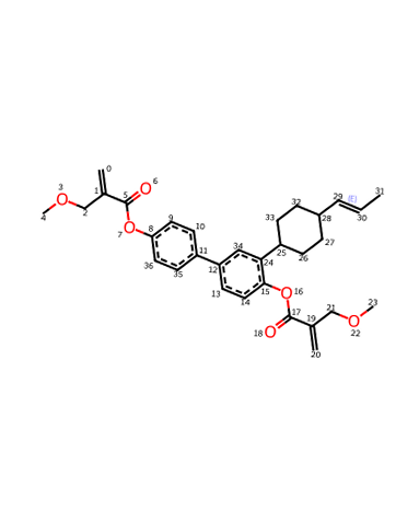 C=C(COC)C(=O)Oc1ccc(-c2ccc(OC(=O)C(=C)COC)c(C3CCC(/C=C/C)CC3)c2)cc1